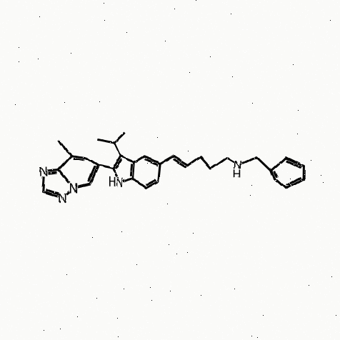 Cc1cc(-c2[nH]c3ccc(/C=C/CCCNCc4ccccc4)cc3c2C(C)C)cn2ncnc12